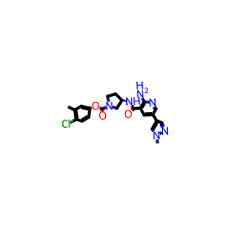 Cc1cc(OC(=O)N2CC[C@@H](NC(=O)c3cc(-c4cnn(C)c4)cnc3N)C2)ccc1Cl